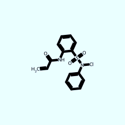 C=CC(=O)Nc1ccccc1S(=O)(=O)N(Cl)c1ccccc1